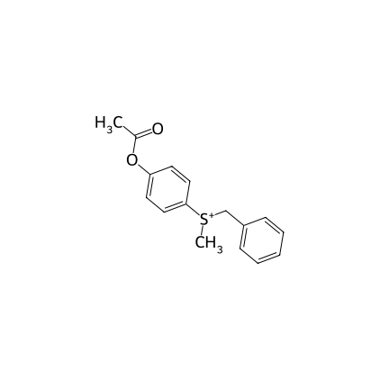 CC(=O)Oc1ccc([S+](C)Cc2ccccc2)cc1